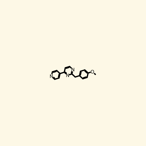 COc1ccc(Cc2nccc(-c3ccncc3)n2)cc1